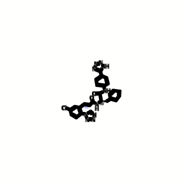 O=C(/C=C/c1cc(Cl)ccc1-n1cnnn1)N[C@@H](Cc1ccccc1)C(=O)Nc1ccc(-c2nnn[nH]2)cc1